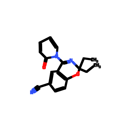 CCC1(CC)N=C(n2ccccc2=O)c2cc(C#N)ccc2O1